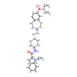 CC(C)C(=O)c1ccc2c(c1)CCN(CC[C@H]1CC[C@H](NC(=O)c3cc4ccccc4n3C)CC1)CC2